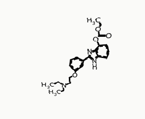 CCOC(=O)Oc1cccc2[nH]c(-c3cccc(OCCN(CC)CC)c3)nc12